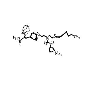 CCCCCSCCN(CCOc1ccc(CC(OCC)C(=O)O)cc1)C(=O)Nc1cccc(OC)c1